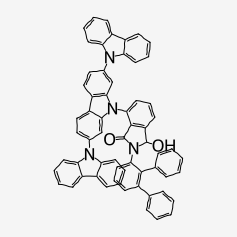 O=C1c2c(cccc2-n2c3cc(-n4c5ccccc5c5ccccc54)ccc3c3ccc(-n4c5ccccc5c5ccccc54)cc32)C(O)N1c1cccc(-c2ccccc2)c1-c1ccccc1